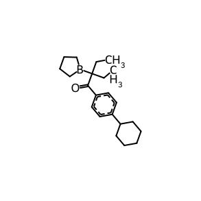 CCC(CC)(B1CCCC1)C(=O)c1ccc(C2CCCCC2)cc1